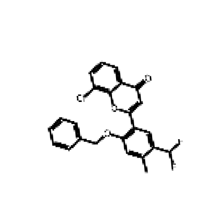 Cc1cc(OCc2ccccc2)c(-c2cc(=O)c3cccc(Cl)c3o2)cc1C(F)F